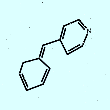 C1=CCC(=Cc2ccncc2)C=C1